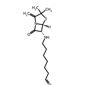 C=C1N2C(=O)[C@@H](NCCCCCCC=O)[C@H]2SC1(C)C